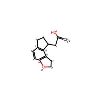 C=C(O)CC1CCc2ccc3c(c21)CCO3